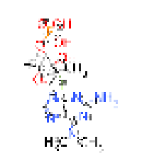 CN(C)c1nc(N)nc2c1ncn2[C@@H]1O[C@@H]2C(OP(=O)(O)O)[C@]2(O)[C@@]1(C)F